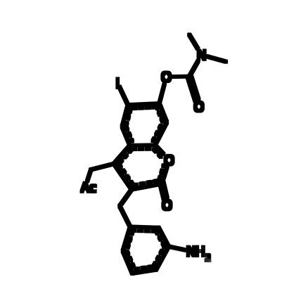 CC(=O)Cc1c(Cc2cccc(N)c2)c(=O)oc2cc(OC(=O)N(C)C)c(I)cc12